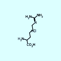 Cl.NC(N)=NCCCCC(N)C(=O)O